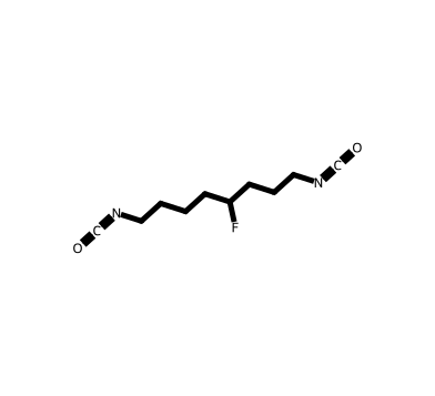 O=C=NCCCCC(F)CCCN=C=O